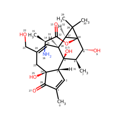 CC1=C[C@H]2[C@@]3(O)[C@H](C)[C@@H](O)[C@]4(OC(=O)[C@H](C)N)[C@@H]([C@@H]3C=C(CO)C[C@@]2(O)C1=O)C4(C)C